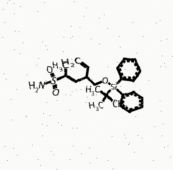 C=CC(CO[Si](c1ccccc1)(c1ccccc1)C(C)(C)C)CC(C)S(N)(=O)=O